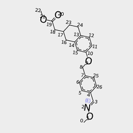 CO/N=C/c1ccc(COc2ccc3c(c2)CC(CC(=O)OC)CC3)cc1